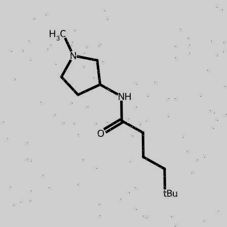 CN1CCC(NC(=O)CCCC(C)(C)C)C1